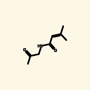 CC(=O)CNC(=O)C=C(C)C